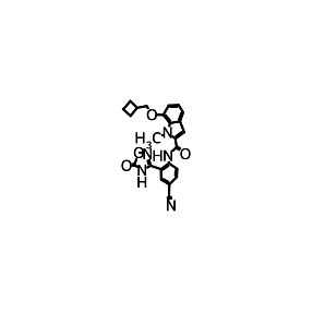 Cn1c(C(=O)Nc2ccc(C#N)cc2-c2noc(=O)[nH]2)cc2cccc(OCC3CCC3)c21